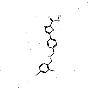 O=C(NO)c1ccc(-c2ccc(CNCc3ccc(Cl)cc3Cl)cc2)o1